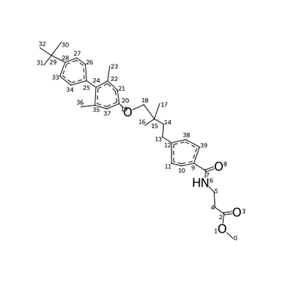 COC(=O)CCNC(=O)c1ccc(CCC(C)(C)COc2cc(C)c(-c3ccc(C(C)(C)C)cc3)c(C)c2)cc1